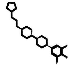 Fc1cc([C@H]2CC[C@H]([C@H]3CC[C@H](CCCC4CCCC4)CC3)CC2)cc(F)c1F